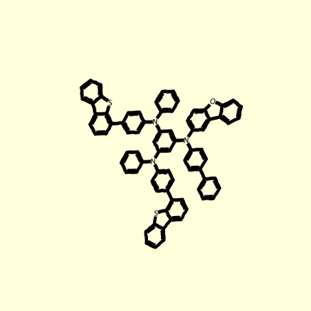 c1ccc(-c2ccc(N(c3cc(N(c4ccccc4)c4ccc(-c5cccc6c5sc5ccccc56)cc4)cc(N(c4ccccc4)c4ccc(-c5cccc6c5sc5ccccc56)cc4)c3)c3ccc4oc5ccccc5c4c3)cc2)cc1